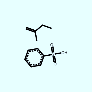 C=C(C)CC.O=S(=O)(O)c1ccccc1